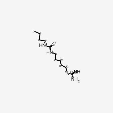 CCCCNC(=S)NCCCCCSC(=N)N